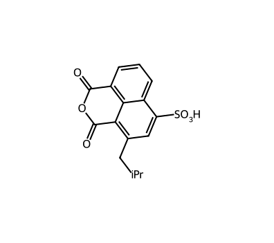 CC(C)Cc1cc(S(=O)(=O)O)c2cccc3c2c1C(=O)OC3=O